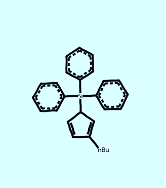 CCCCC1=C[C]([Si](c2ccccc2)(c2ccccc2)c2ccccc2)C=C1